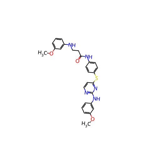 COc1cccc(NCCC(=O)Nc2ccc(Sc3ccnc(Nc4cccc(OC)c4)n3)cc2)c1